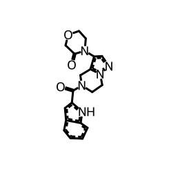 O=C(c1cc2ccccc2[nH]1)N1CCn2ncc(N3CCOCC3=O)c2C1